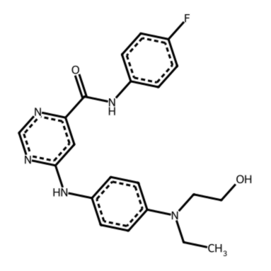 CCN(CCO)c1ccc(Nc2cc(C(=O)Nc3ccc(F)cc3)ncn2)cc1